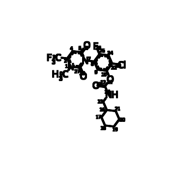 Cn1c(C(F)(F)F)cc(=O)n(-c2cc(OC(=O)NCC3CCCCC3)c(Cl)cc2F)c1=O